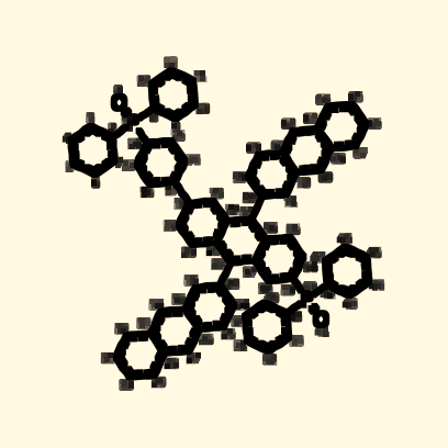 O=P(c1ccccc1)(c1ccccc1)c1ccc(-c2ccc3c(-c4ccc5cc6ccccc6cc5c4)c4cc(P(=O)(c5ccccc5)c5ccccc5)ccc4c(-c4ccc5cc6ccccc6cc5c4)c3c2)cc1